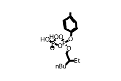 CCCCC(CC)COP(=O)(Oc1ccc(C)cc1)OP(=O)(O)O